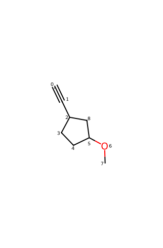 [C]#CC1CCC(OC)C1